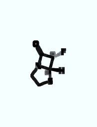 O=C1[C@H](F)[C@@H]2SCCN12